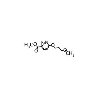 COCCCOc1ccc(C(=O)OC)nn1